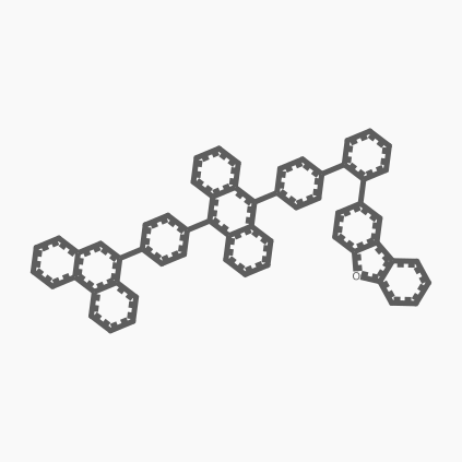 c1ccc(-c2ccc3oc4ccccc4c3c2)c(-c2ccc(-c3c4ccccc4c(-c4ccc(-c5cc6ccccc6c6ccccc56)cc4)c4ccccc34)cc2)c1